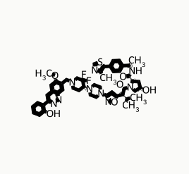 COc1cc2cc(-c3ccccc3O)nnc2cc1CN1CC[C@@H](N2CCN(c3cc([C@H](C(=O)N4C[C@H](O)C[C@H]4C(=O)N[C@@H](C)c4ccc(-c5scnc5C)cc4)C(C)C)on3)CC2)C(F)(F)C1